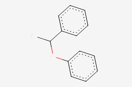 CCC(Oc1ccccc1)c1cc[c]cc1